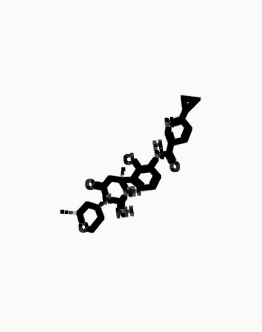 C[C@@H]1C[C@H](N2C(=N)N[C@](C)(c3cccc(NC(=O)c4ccc(C5CC5)nc4)c3Cl)CC2=O)CCO1